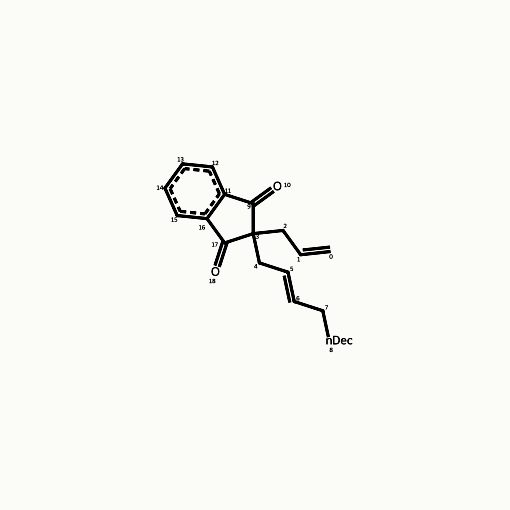 C=CCC1(CC=CCCCCCCCCCCC)C(=O)c2ccccc2C1=O